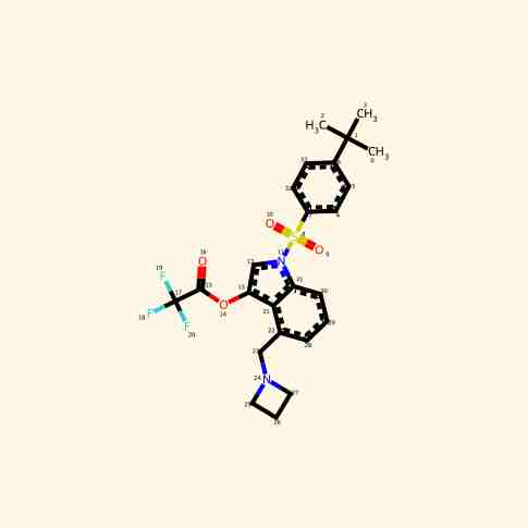 CC(C)(C)c1ccc(S(=O)(=O)n2cc(OC(=O)C(F)(F)F)c3c(CN4CCC4)cccc32)cc1